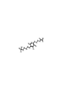 Cc1cc(CCCCC2(C)CC2)c(C)c(C)c1CCCCCC(C)(C)C